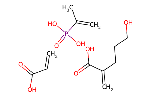 C=C(C)P(=O)(O)O.C=C(CCCO)C(=O)O.C=CC(=O)O